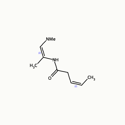 C/C=C\CC(=O)N/C(C)=C\NC